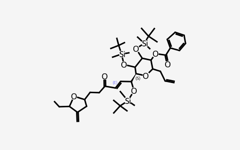 C=CCC1O[C@@H](C(/C=C/C(=O)CCC2CC(=C)C(CC)O2)O[Si](C)(C)C(C)(C)C)C(O[Si](C)(C)C(C)(C)C)C(O[Si](C)(C)C(C)(C)C)C1OC(=O)c1ccccc1